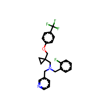 Fc1ccccc1CN(Cc1cccnc1)CC1(COc2ccc(C(F)(F)F)cc2)CC1